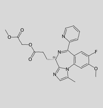 COC(=O)COC(=O)CC[C@@H]1N=C(c2ccccn2)c2cc(F)c(OC)cc2-n2c(C)cnc21